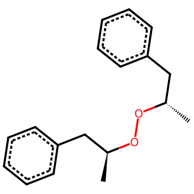 C[C@@H](Cc1ccccc1)OO[C@@H](C)Cc1ccccc1